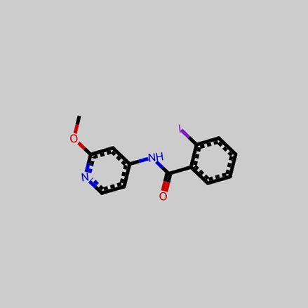 COc1cc(NC(=O)c2ccccc2I)ccn1